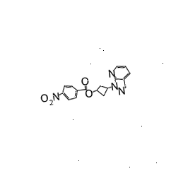 O=C(OC1CC(n2ncc3cccnc32)C1)c1ccc([N+](=O)[O-])cc1